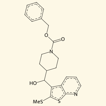 CSc1sc2ncccc2c1C(O)C1CCN(C(=O)OCc2ccccc2)CC1